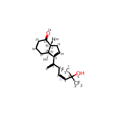 C=C(C/C=C\C(O)(C(F)(F)F)C(F)(F)F)C1=CC[C@H]2C(=O)CCC[C@]12C